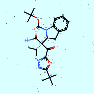 CC(C)[C@@](C([NH])=O)(C(=O)c1nnc(C(C)(C)C)o1)[C@@H]1Cc2ccccc2N1C(=O)OC(C)(C)C